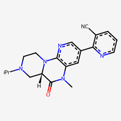 CC(C)N1CCN2c3ncc(-c4ncccc4C#N)cc3N(C)C(=O)[C@@H]2C1